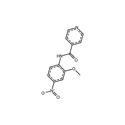 COc1cc([N+](=O)[O-])ccc1NC(=O)c1ccncc1